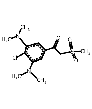 CN(C)c1cc(C(=O)CS(C)(=O)=O)cc(N(C)C)c1Cl